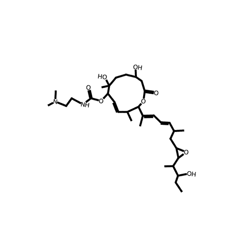 CCC(O)C(C)C1OC1CC(C)/C=C/C=C(\C)C1OC(=O)CC(O)CCC(C)(O)C(OC(=O)NCCN(C)C)/C=C/C1C